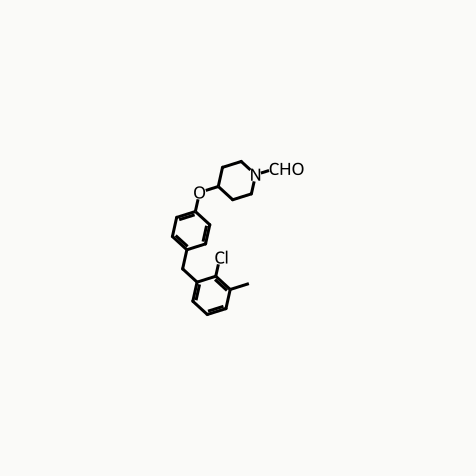 Cc1cccc(Cc2ccc(OC3CCN(C=O)CC3)cc2)c1Cl